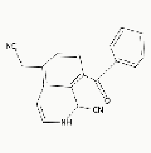 N#CCc1ccc(C(=O)c2ccccc2)c2c1C=CNC2C#N